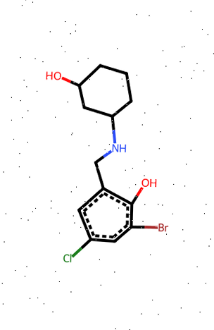 Oc1c(Br)cc(Cl)cc1CNC1CCCC(O)C1